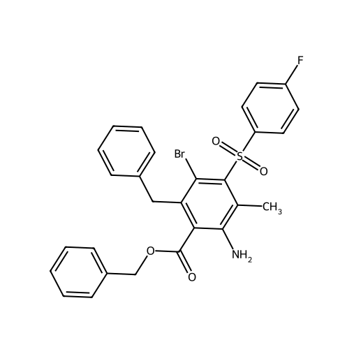 Cc1c(N)c(C(=O)OCc2ccccc2)c(Cc2ccccc2)c(Br)c1S(=O)(=O)c1ccc(F)cc1